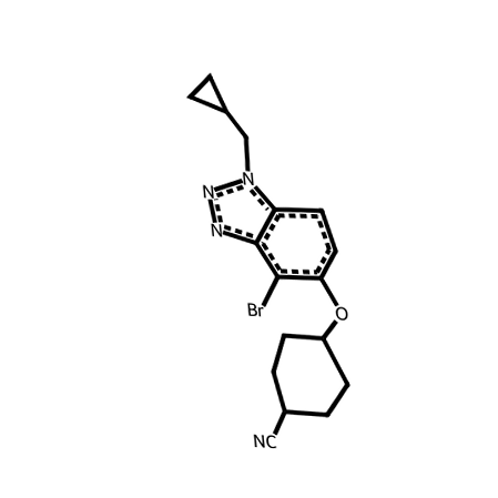 N#CC1CCC(Oc2ccc3c(nnn3CC3CC3)c2Br)CC1